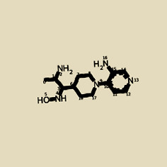 CC(N)C(NO)C1CCN(c2ccncc2N)CC1